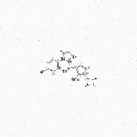 Fc1ccc(-n2ncnc2Cc2cnn(C3CCC3)c2Br)c(I)c1